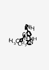 CC1(C)CC(C(=O)N2Cc3cccnc3Nc3ccc(N4CC5CCC4CN5)cc32)C1